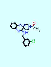 CC(=O)N1CCC2(CC1)Nc1ccccc1N=C2NCc1cccc(Cl)c1